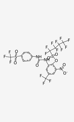 O=C(Nc1ccc(S(=O)(=O)C(F)(F)F)cc1)Nc1cc(C(F)(F)F)cc([N+](=O)[O-])c1OS(=O)(=O)C(F)(F)C(F)(F)C(F)(F)C(F)(F)F